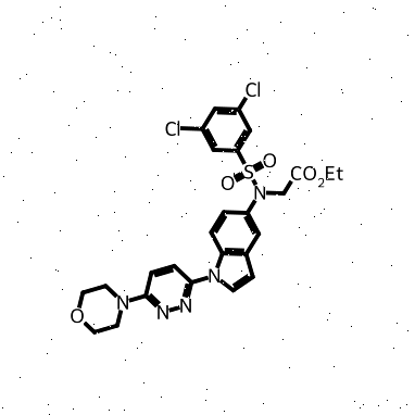 CCOC(=O)CN(c1ccc2c(ccn2-c2ccc(N3CCOCC3)nn2)c1)S(=O)(=O)c1cc(Cl)cc(Cl)c1